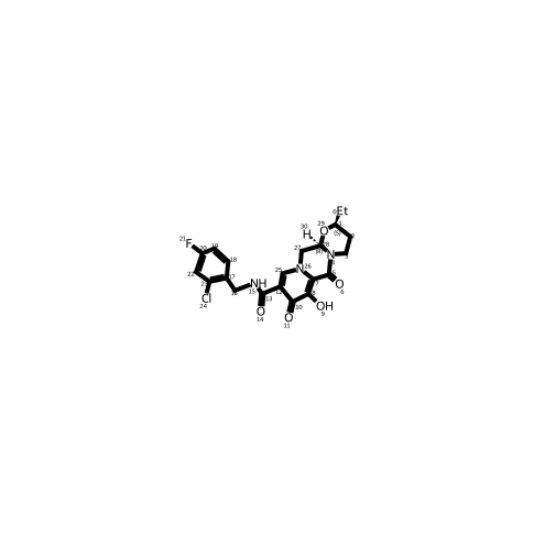 CC[C@H]1CCN2C(=O)c3c(O)c(=O)c(C(=O)NCc4ccc(F)cc4Cl)cn3C[C@H]2O1